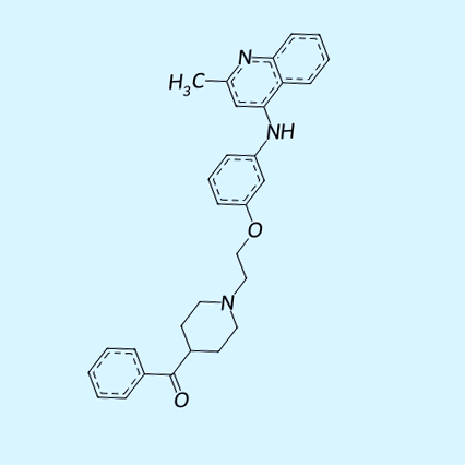 Cc1cc(Nc2cccc(OCCN3CCC(C(=O)c4ccccc4)CC3)c2)c2ccccc2n1